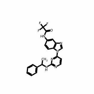 CC(Nc1nccc(-n2cnc3cc(NC(=O)C(F)(F)F)ccc32)n1)c1ccccc1